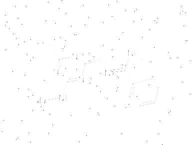 CCCNc1nc(Cl)nc(ON=C(N)c2ccccc2)n1